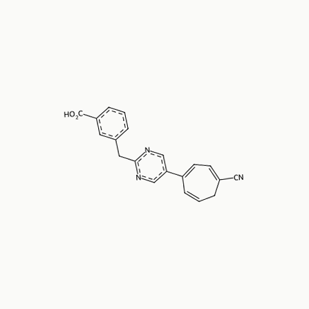 N#CC1=CC=C(c2cnc(Cc3cccc(C(=O)O)c3)nc2)C=CC1